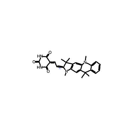 CN1/C(=C/C=C2C(=O)NC(=O)NC2=O)C(C)(C)c2cc3c(cc21)C(C)(C)c1ccccc1N3C